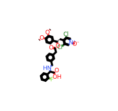 COc1ccc([C@H](Cc2c(Cl)c[n+]([O-])cc2Cl)OC(=O)Cc2cccc(CNC(C(=O)O)c3ccccc3F)c2)cc1OC